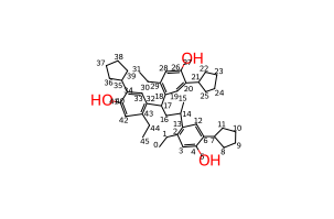 CCc1cc(O)c(C2CCCC2)cc1C(C)CC(c1cc(C2CCCC2)c(O)cc1CC)c1cc(C2CCCC2)c(O)cc1CC